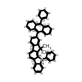 CC1(C)c2cc(-c3c4ccccc4c(-c4ccccc4)c4ccccc34)ccc2-c2ccc3c4ccccc4n(-c4ccccc4)c3c21